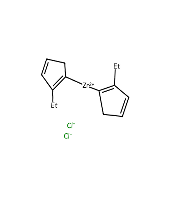 CCC1=[C]([Zr+2][C]2=C(CC)C=CC2)CC=C1.[Cl-].[Cl-]